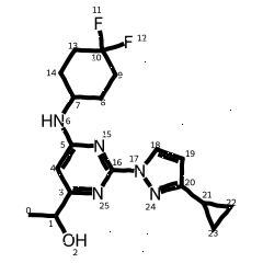 CC(O)c1cc(NC2CCC(F)(F)CC2)nc(-n2ccc(C3CC3)n2)n1